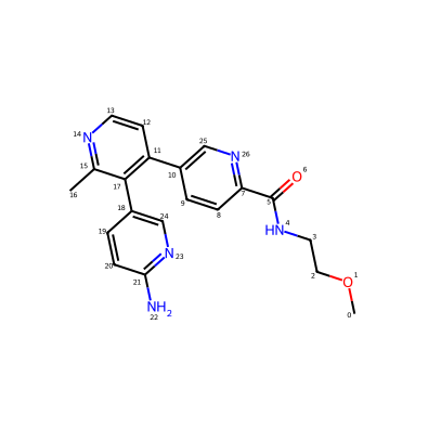 COCCNC(=O)c1ccc(-c2ccnc(C)c2-c2ccc(N)nc2)cn1